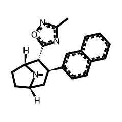 Cc1noc([C@@H]2[C@@H](c3ccc4ccccc4c3)C[C@@H]3CC[C@H]2N3C)n1